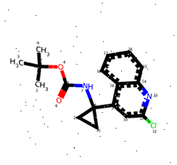 CC(C)(C)OC(=O)NC1(c2cc(Cl)nc3ccccc23)CC1